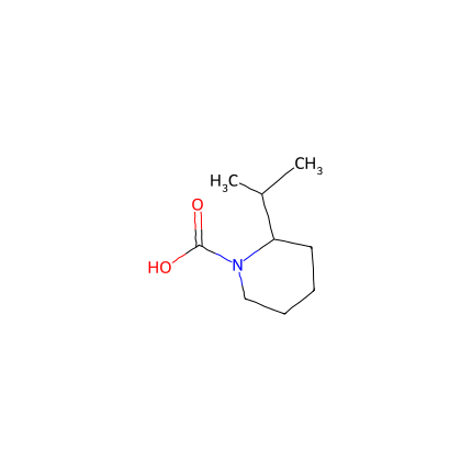 CC(C)C1CCCCN1C(=O)O